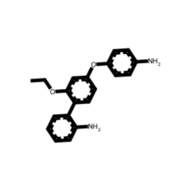 CCOc1cc(Oc2ccc(N)cc2)ccc1-c1ccccc1N